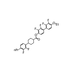 CCCc1ccc(C2CCC(C(=O)Oc3ccc(-c4ccc(OCC)c(F)c4F)c(F)c3F)CC2)c(F)c1F